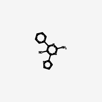 N#Cc1c(-c2ccccc2)nc(N)nc1-c1cccs1